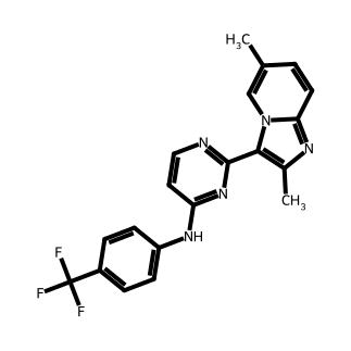 Cc1ccc2nc(C)c(-c3nccc(Nc4ccc(C(F)(F)F)cc4)n3)n2c1